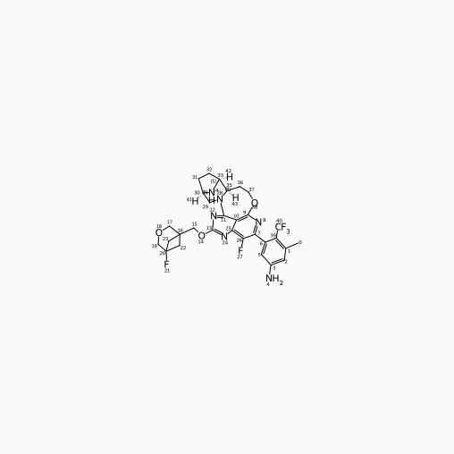 Cc1cc(N)cc(-c2nc3c4c(nc(OCC56COCC(F)(C5)C6)nc4c2F)N2C[C@H]4CC[C@H](N4)[C@H]2CCO3)c1C(F)(F)F